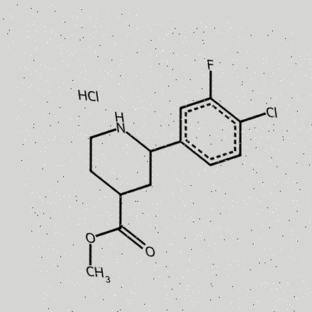 COC(=O)C1CCNC(c2ccc(Cl)c(F)c2)C1.Cl